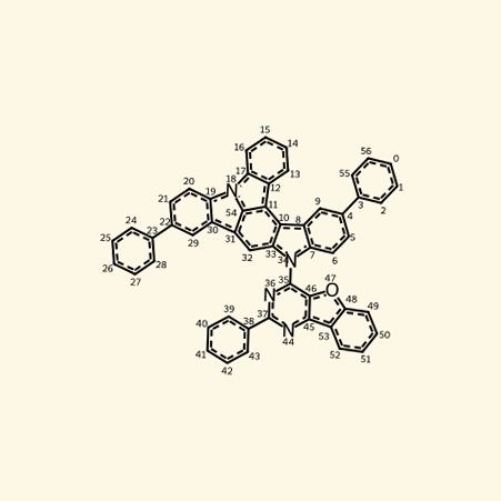 c1ccc(-c2ccc3c(c2)c2c4c5ccccc5n5c6ccc(-c7ccccc7)cc6c(cc2n3-c2nc(-c3ccccc3)nc3c2oc2ccccc23)c45)cc1